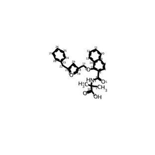 CC(C)(NC(=O)c1ccc2ccccc2c1OCc1coc(Cc2ccccc2)c1)C(=O)O